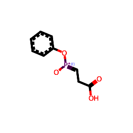 O=C(O)C/C=[P+](\[O-])Oc1ccccc1